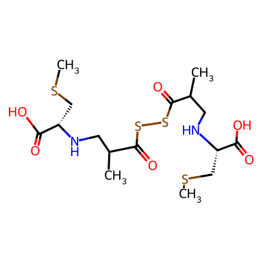 CSC[C@H](NCC(C)C(=O)SSC(=O)C(C)CN[C@@H](CSC)C(=O)O)C(=O)O